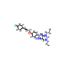 CCCN1C=C2NC(c3ccc(OCC#Cc4ccc(F)cc4)cc3)N=C2N(CCC)C1